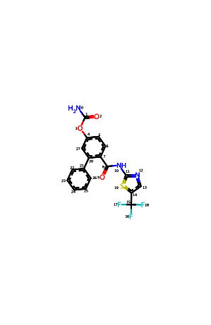 NC(=O)Oc1ccc(C(=O)Nc2ncc(C(F)(F)F)s2)c(-c2ccccc2)c1